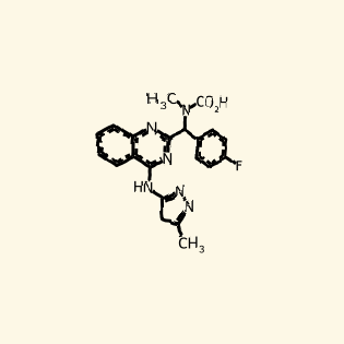 CC1=NN=C(Nc2nc(C(c3ccc(F)cc3)N(C)C(=O)O)nc3ccccc23)C1